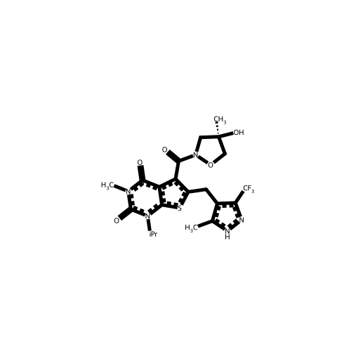 Cc1[nH]nc(C(F)(F)F)c1Cc1sc2c(c1C(=O)N1C[C@@](C)(O)CO1)c(=O)n(C)c(=O)n2C(C)C